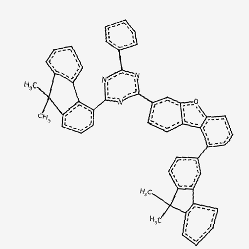 CC1(C)c2ccccc2-c2cc(-c3cccc4oc5cc(-c6nc(-c7ccccc7)nc(-c7cccc8c7-c7ccccc7C8(C)C)n6)ccc5c34)ccc21